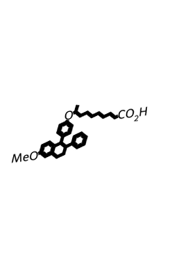 COc1ccc2c(c1)CCC(c1ccccc1)C2c1ccc(OC(C)CCCCCCCC(=O)O)cc1